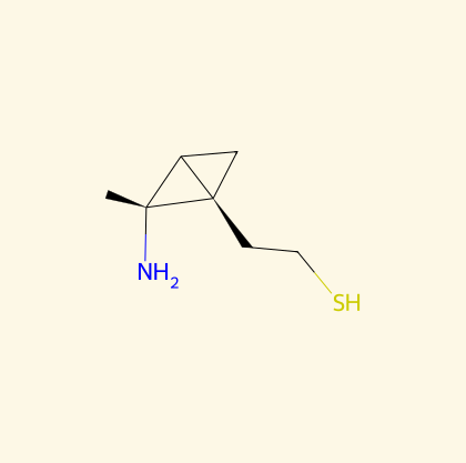 C[C@@]1(N)C2C[C@@]21CCS